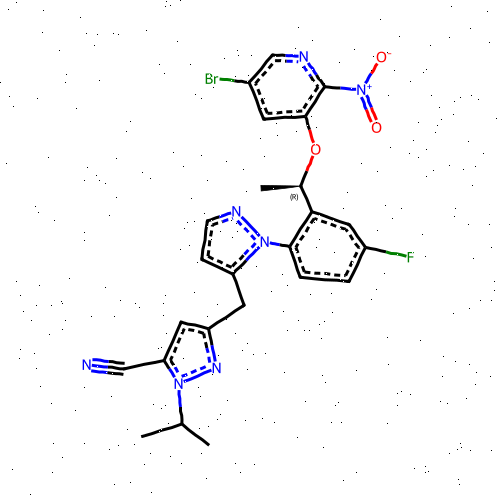 CC(C)n1nc(Cc2ccnn2-c2ccc(F)cc2[C@@H](C)Oc2cc(Br)cnc2[N+](=O)[O-])cc1C#N